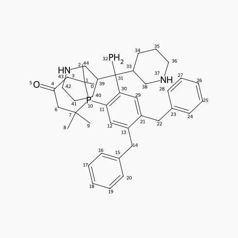 CC1(C)CC(=O)CC(C)(C)P1c1cc(Cc2ccccc2)c(Cc2ccccc2)cc1C(P)(C1CCCNC1)C1CCCNC1